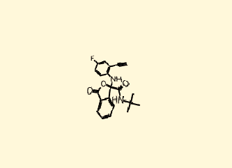 C#Cc1cc(F)ccc1NC1(C(=O)NC(C)(C)C)OC(=O)c2ccccc21